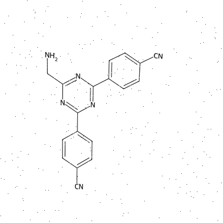 N#Cc1ccc(-c2nc(CN)nc(-c3ccc(C#N)cc3)n2)cc1